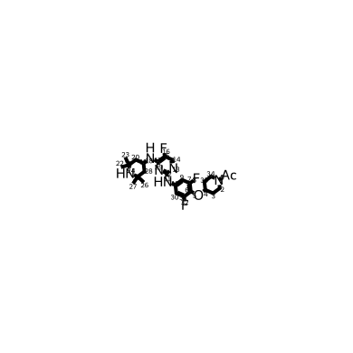 CC(=O)N1CCC(Oc2c(F)cc(Nc3ncc(F)c(NC4CC(C)(C)NC(C)(C)C4)n3)cc2F)CC1